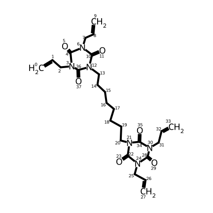 C=CCn1c(=O)n(CC=C)c(=O)n(CCCCCCCCn2c(=O)n(CC=C)c(=O)n(CC=C)c2=O)c1=O